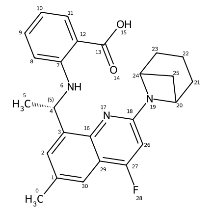 Cc1cc([C@H](C)Nc2ccccc2C(=O)O)c2nc(N3C4CCCC3C4)cc(F)c2c1